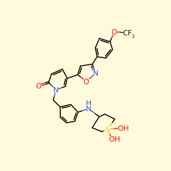 O=c1ccc(-c2cc(-c3ccc(OC(F)(F)F)cc3)no2)cn1Cc1cccc(NC2CCS(O)(O)CC2)c1